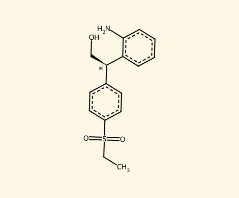 CCS(=O)(=O)c1ccc([C@@H](CO)c2ccccc2N)cc1